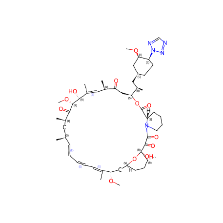 COC1C[C@@H]2CC[C@@H](C)[C@@](O)(O2)C(=O)C(=O)N2CCCC[C@H]2C(=O)O[C@H]([C@H](C)C[C@@H]2CC[C@H](n3ncnn3)[C@H](OC)C2)CC(=O)[C@H](C)/C=C(\C)[C@@H](O)[C@@H](OC)C(=O)[C@H](C)C[C@H](C)/C=C/C=C/C=C/1C